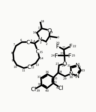 CC1CN(C2CCCCCCCCCCC2)CC(C)O1.FC(F)C(F)(F)OCC(Cn1cncn1)c1ccc(Cl)cc1Cl